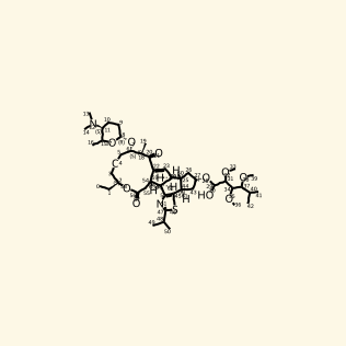 CC[C@H]1CCC[C@H](O[C@H]2CC[C@H](N(C)C)C(C)O2)[C@@H](C)C(=O)C2=C[C@H]3[C@@H]4C[C@H](OC(O)C(OC)C(OC)C(OC)C(C)C)C[C@H]4c4sc(C(C)C)nc4[C@H]3[C@@H]2CC(=O)O1